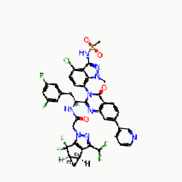 Cn1nc(NS(C)(=O)=O)c2c(Cl)ccc(-n3c([C@H](Cc4cc(F)cc(F)c4)NC(=O)Cn4nc(C(F)F)c5c4C(F)(F)[C@@H]4C[C@H]54)nc4cc(-c5cccnc5)ccc4c3=O)c21